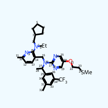 CCN(CC1CCCC1)c1nc(C)ccc1CN(c1ncc(OCCSC)cn1)C(C)c1cc(C)cc(C(F)(F)F)c1